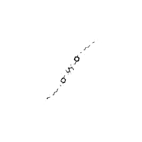 C=CC(=O)OCCCCOC(=O)Oc1ccc(C(=O)O[C@H]2CO[C@H]3[C@@H]2OC[C@H]3OC(=O)c2ccc(OC(=O)OCCCCOC(=O)C=C)cc2)cc1